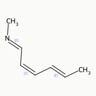 C/C=C/C=C\C=N\C